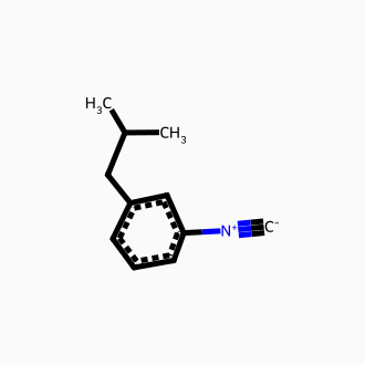 [C-]#[N+]c1cccc(CC(C)C)c1